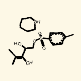 C1CCNCC1.CC(C)=C(O)C(O)COS(=O)(=O)c1ccc(C)cc1